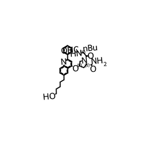 CCCC[C@H](NC=O)C(=O)N1C[C@H](Oc2cc(-c3ccccc3)nc3ccc(CCCCCO)cc23)C[C@H]1C(N)=O